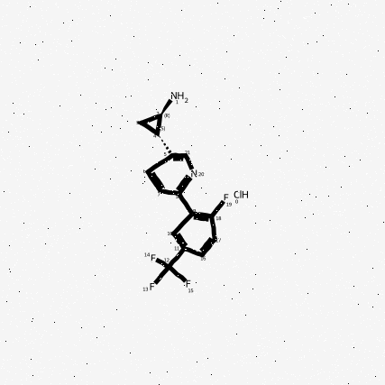 Cl.N[C@@H]1C[C@H]1c1ccc(-c2cc(C(F)(F)F)ccc2F)nc1